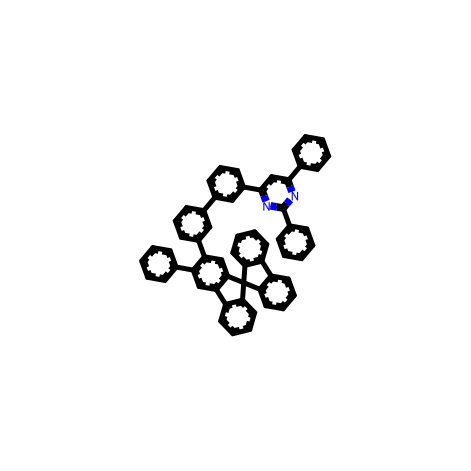 c1ccc(-c2cc(-c3cccc(-c4cccc(-c5cc6c(cc5-c5ccccc5)-c5ccccc5C65c6ccccc6-c6ccccc65)c4)c3)nc(-c3ccccc3)n2)cc1